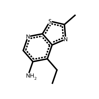 CCc1c(N)cnc2sc(C)nc12